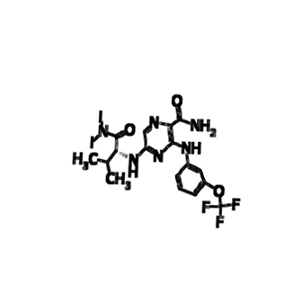 CC(C)[C@@H](Nc1cnc(C(N)=O)c(Nc2cccc(OC(F)(F)F)c2)n1)C(=O)N(I)I